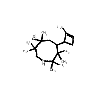 CC1=CCC1C1CC(C)(C)C(C)(C)CNC(C)(C)C1(C)C